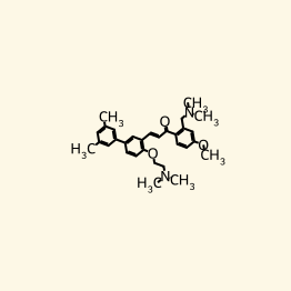 COc1ccc(C(=O)/C=C/c2cc(-c3cc(C)cc(C)c3)ccc2OCCN(C)C)c(CN(C)C)c1